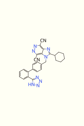 N#Cc1nnc(C#N)c2c1nc(C1CCCCC1)n2Cc1ccc(-c2ccccc2-c2nnn[nH]2)cc1